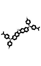 CC(C)c1ccc(N(c2ccc(F)cc2)c2ccc3cc4c(cc3c2)oc2cc3cc(N(c5ccc(I)cc5)c5ccc(C(C)C)cc5)ccc3cc24)cc1